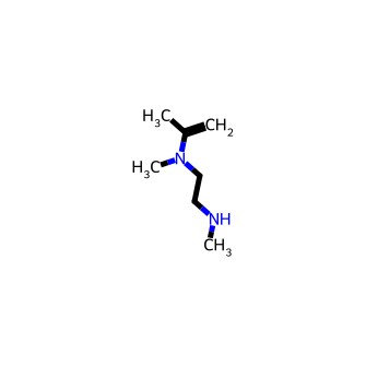 C=C(C)N(C)CCNC